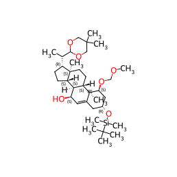 COCO[C@H]1C[C@H](O[Si](C)(C)C(C)(C)C)CC2=C[C@@H](O)[C@H]3[C@@H]4CC[C@H](C(C)C5OCC(C)(C)CO5)[C@@]4(C)CC[C@@H]3[C@]21C